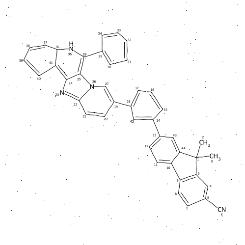 CC1(C)c2cc(C#N)ccc2-c2ccc(-c3cccc(-c4ccc5nc6c(n5c4)=C(c4ccccc4)NC4C=CC=CC=64)c3)cc21